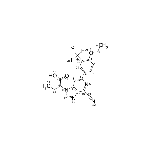 CCOc1ccc(-c2cc3c(ncn3C(CC)C(=O)O)c(C#N)n2)cc1C(F)(F)F